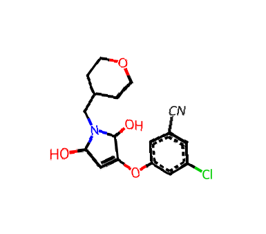 N#Cc1cc(Cl)cc(OC2=CC(O)N(CC3CCOCC3)C2O)c1